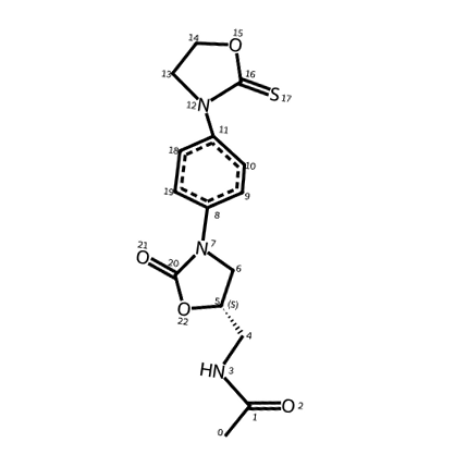 CC(=O)NC[C@H]1CN(c2ccc(N3CCOC3=S)cc2)C(=O)O1